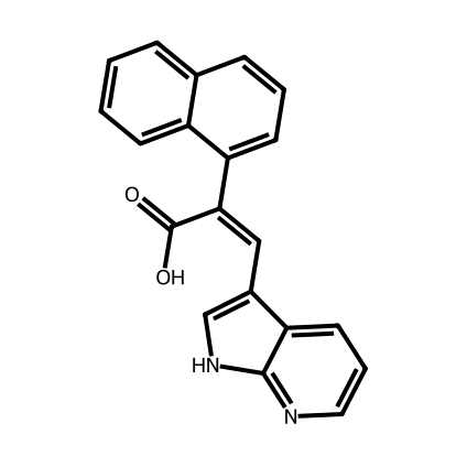 O=C(O)C(=Cc1c[nH]c2ncccc12)c1cccc2ccccc12